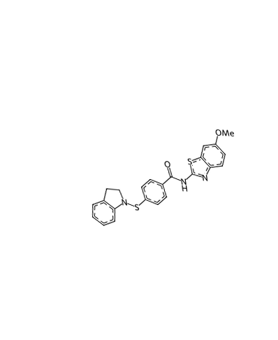 COc1ccc2nc(NC(=O)c3ccc(SN4CCc5ccccc54)cc3)sc2c1